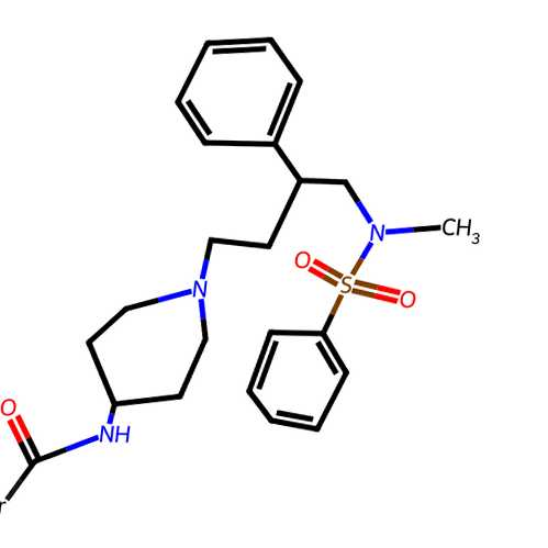 CC(C)C(=O)NC1CCN(CCC(CN(C)S(=O)(=O)c2ccccc2)c2ccccc2)CC1